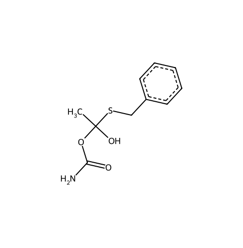 CC(O)(OC(N)=O)SCc1ccccc1